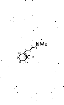 CNCCCCC1CCCCC1.Cl